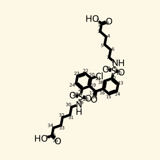 O=C(O)CCCCCNS(=O)(=O)c1cccc(C(=O)c2c(Cl)cccc2S(=O)(=O)NCCCCCC(=O)O)c1